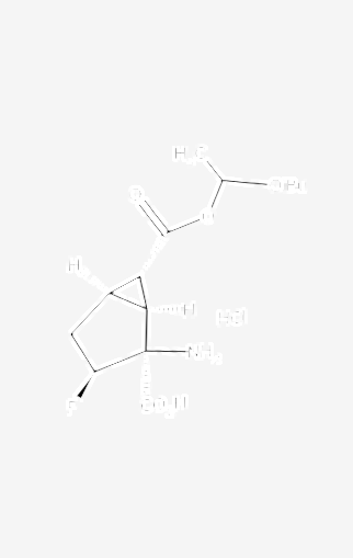 CC(C)COC(C)OC(=O)[C@H]1[C@@H]2C[C@H](F)[C@@](N)(C(=O)O)[C@@H]21.Cl